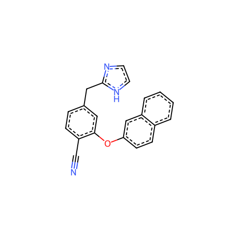 N#Cc1ccc(Cc2ncc[nH]2)cc1Oc1ccc2ccccc2c1